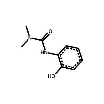 CN(C)C(=O)Nc1ccccc1O